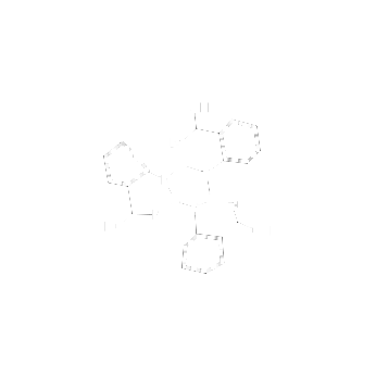 CC(Br)c1ccccc1B1OB(c2ccccc2C(C)Br)OB(c2ccccc2C(C)Br)O1